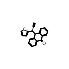 C#C[C@H](c1ccco1)C1c2ccccc2C(=O)c2ccccc21